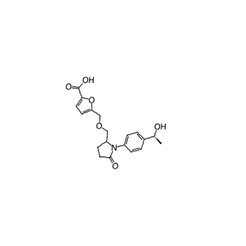 C[C@H](O)c1ccc(N2C(=O)CCC2COCc2ccc(C(=O)O)o2)cc1